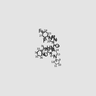 C[C@@H](NC(=O)[C@@H]1CN(C2CCCC2)CC[C@H]1NC(=O)c1cn(-c2ccc(F)cc2F)nn1)c1ccccn1